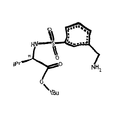 CC(C)[C@@H](NS(=O)(=O)c1cccc(CN)c1)C(=O)OC(C)(C)C